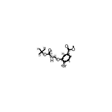 COC(=O)c1ccc(Br)c(OCNC(=O)OC(C)(C)C)c1